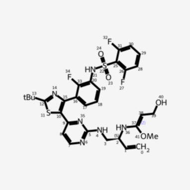 C=C[C@@H](CNc1nccc(-c2sc(C(C)(C)C)nc2-c2cccc(NS(=O)(=O)c3c(F)cccc3F)c2F)n1)N/C(=C/CO)OC